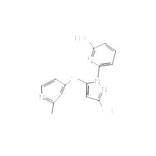 Cc1cccc(-n2nc(C)cc2Oc2ccnc(Cl)c2)n1